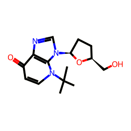 CC(C)(C)n1ccc(=O)c2ncn([C@H]3CC[C@@H](CO)O3)c21